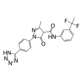 CC1=NN(c2ccc(-c3nnn[nH]3)cc2)C(=O)C1C(=O)Nc1cccc(C(C)(F)F)c1